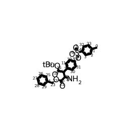 Cc1ccc(S(=O)(=O)Oc2ccc(C(C(=O)OC(C)(C)C)C(N)C(=O)OCc3ccccc3)cc2)cc1